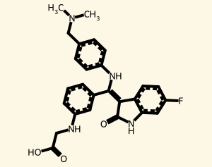 CN(C)Cc1ccc(NC(=C2C(=O)Nc3cc(F)ccc32)c2cccc(NCC(=O)O)c2)cc1